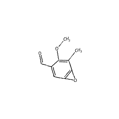 COc1c(C=O)cc2c(c1C)O2